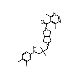 Cc1ccc(NCC(C)(C)CN2CC3CN(C(=O)c4c(C)ncnc4C)CC3C2)cc1C